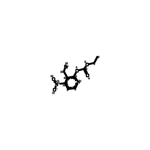 CCOC(=O)Oc1nccc([N+](=O)[O-])c1CBr